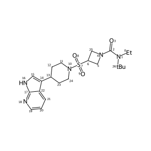 CCN(C(=O)N1CC(S(=O)(=O)N2CCC(c3c[nH]c4ncccc34)CC2)C1)C(C)(C)C